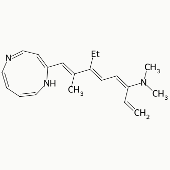 C=C\C(=C/C=C(CC)/C(C)=C/c1ccncccc[nH]1)N(C)C